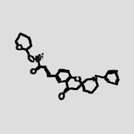 O=C(C=Cc1ccc2c(c1)C(=O)CC1(CCCN(Cc3ccccc3)C1)O2)NOC1CCCCO1